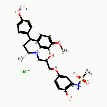 COc1ccc(C(C[C@@H](C)NC[C@@H](O)COc2ccc(O)c(NS(C)(=O)=O)c2)c2ccc(OC)cc2)cc1.Cl